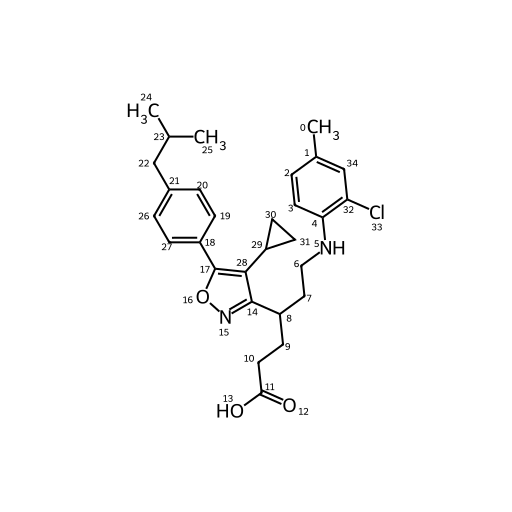 Cc1ccc(NCCC(CCC(=O)O)c2noc(-c3ccc(CC(C)C)cc3)c2C2CC2)c(Cl)c1